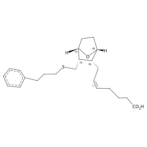 O=C(O)CCC/C=C\C[C@@H]1[C@H](CSCCCc2ccccc2)[C@@H]2CC[C@H]1O2